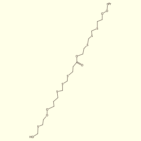 CCCOOCCSCSCSCCOC(=O)CCSCSCSCCCOOCCSCO